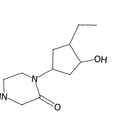 CCC1CC(N2CCNCC2=O)CC1O